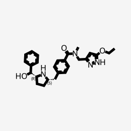 CCOc1cc(CN(C)C(=O)c2ccc(C[C@@H]3CC[C@H](C(O)c4ccccc4)N3)cc2)n[nH]1